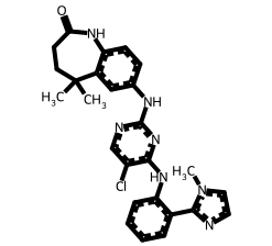 Cn1ccnc1-c1ccccc1Nc1nc(Nc2ccc3c(c2)C(C)(C)CCC(=O)N3)ncc1Cl